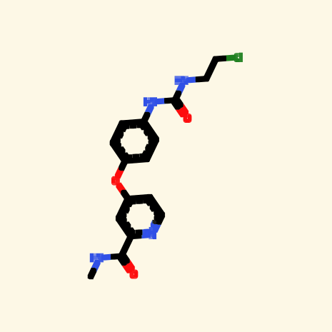 CNC(=O)c1cc(Oc2ccc(NC(=O)NCCCl)cc2)ccn1